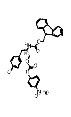 O=C(N[C@H](COC(=O)Oc1ccc([N+](=O)[O-])cc1)Cc1ccc(Cl)cc1)OCC1c2ccccc2-c2ccccc21